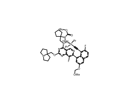 COCOc1cc(-c2ncc3c(NCC4(N(C)C(=O)OC(C)(C)C)CCCC4)nc(OCC45CCCN4CCC5)nc3c2F)c2c(C#C[Si](C(C)C)(C(C)C)C(C)C)c(F)ccc2c1